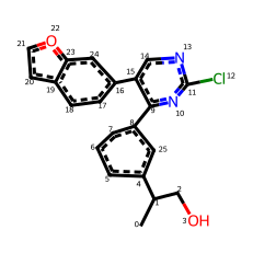 CC(CO)c1cccc(-c2nc(Cl)ncc2-c2ccc3ccoc3c2)c1